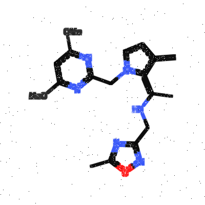 C=c1ccn(Cc2nc(OC)cc(OC)n2)/c1=C(/C)NCc1noc(C)n1